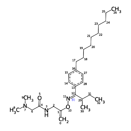 C=C(CNC(=O)CN(C)C)O/N=C(/c1ccc(CCCCCCCCCC)cc1)C(C)CC